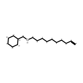 C=CCCCCCCCCOCC1CCCCC1